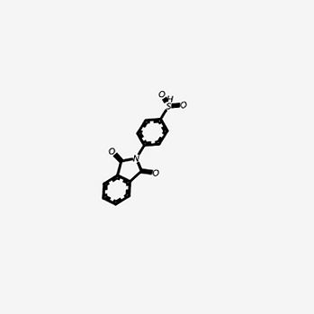 O=C1c2ccccc2C(=O)N1c1ccc([SH](=O)=O)cc1